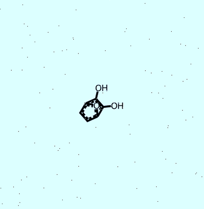 Oc1c(O)c2ccc1o2